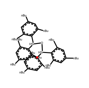 CCCCc1cc(CCCC)c([SiH](O[SiH](c2c(CCCC)cc(CCCC)cc2CCCC)c2c(CCCC)cc(CCCC)cc2CCCC)c2c(CCCC)cc(CCCC)cc2CCCC)c(CCCC)c1